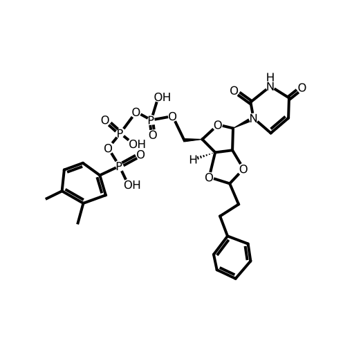 Cc1ccc(P(=O)(O)OP(=O)(O)OP(=O)(O)OC[C@H]2O[C@@H](n3ccc(=O)[nH]c3=O)C3OC(CCc4ccccc4)O[C@H]32)cc1C